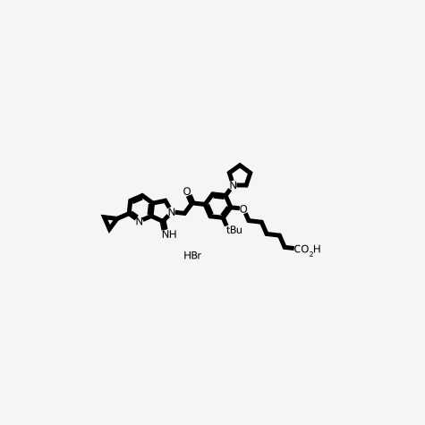 Br.CC(C)(C)c1cc(C(=O)CN2Cc3ccc(C4CC4)nc3C2=N)cc(N2CCCC2)c1OCCCCCC(=O)O